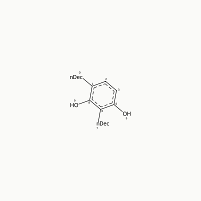 CCCCCCCCCCc1ccc(O)c(CCCCCCCCCC)c1O